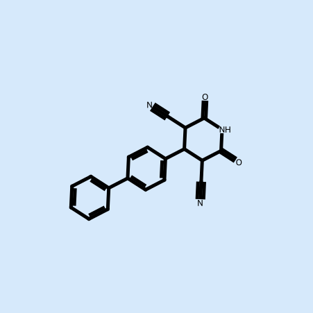 N#CC1C(=O)NC(=O)C(C#N)C1c1ccc(-c2ccccc2)cc1